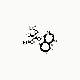 CCOS(=O)(=O)OCC.c1ccc2cnccc2c1